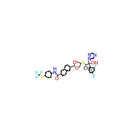 CC(SC1COC(c2ccc3cc(C(=O)Nc4ccc(SC(F)(F)F)cc4)ccc3c2)OC1)C(O)(Cn1cncn1)c1ccc(F)cc1F